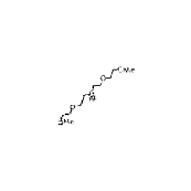 COCCOCCOCCOCCOC.F